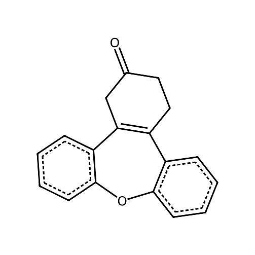 O=C1CCC2=C(C1)c1ccccc1Oc1ccccc12